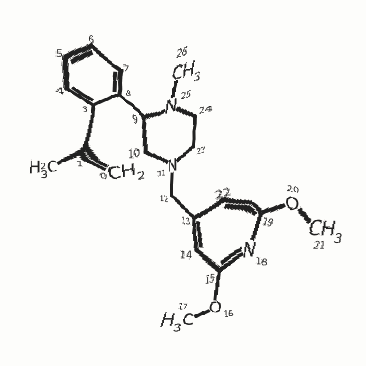 C=C(C)c1ccccc1C1CN(Cc2cc(OC)nc(OC)c2)CCN1C